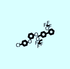 CC(OC(Oc1cccc(Oc2ccc(Cl)cc2)c1)c1ccc(-c2ccccc2OC(F)(F)F)cc1)C(F)(F)F